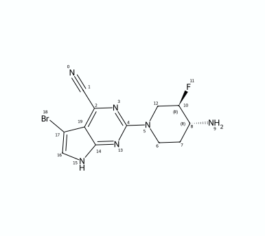 N#Cc1nc(N2CC[C@@H](N)[C@H](F)C2)nc2[nH]cc(Br)c12